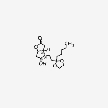 CCCCCC1(CC[C@H]2[C@@H](O)CC3OC(=O)C[C@@H]32)OCCO1